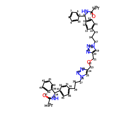 CC(C)C(=O)N[C@H](c1ccccc1)c1ccc(CCCn2cc(COCc3cn(CCCc4ccc([C@@H](NC(=O)C(C)C)c5ccccc5)cc4)nn3)nn2)cc1